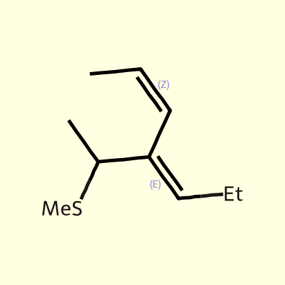 C/C=C\C(=C/CC)C(C)SC